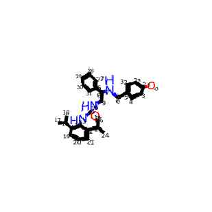 COc1ccc(CNC(CNC(=O)Nc2c(C(C)C)cccc2C(C)C)c2ccccc2)cc1